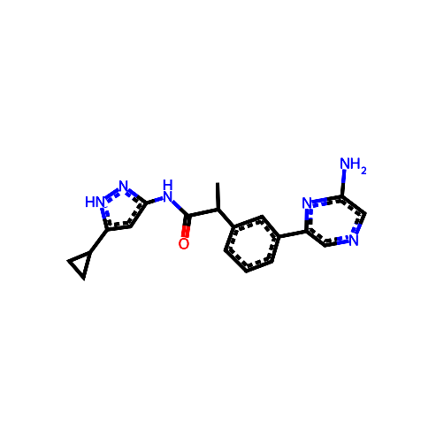 CC(C(=O)Nc1cc(C2CC2)[nH]n1)c1cccc(-c2cncc(N)n2)c1